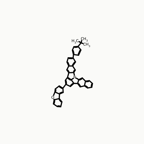 CC(C)(C)c1ccc(-c2ccc3cc4c5cc(-c6ccc7oc8ccccc8c7c6)cc6c7cc8ccccc8cc7n(c4cc3c2)c65)cc1